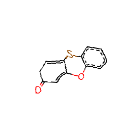 O=C1C=C2Oc3ccccc3SC2=CC1